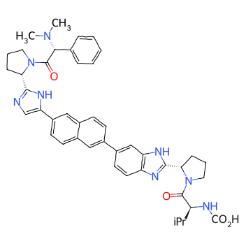 CC(C)[C@H](NC(=O)O)C(=O)N1CCC[C@H]1c1nc2ccc(-c3ccc4cc(-c5cnc([C@@H]6CCCN6C(=O)[C@@H](c6ccccc6)N(C)C)[nH]5)ccc4c3)cc2[nH]1